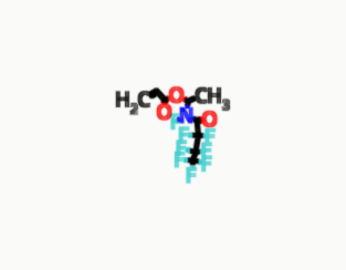 C=CC(=O)OC(C)N(F)C(=O)C(F)(F)C(F)(F)C(F)(F)F